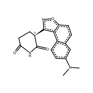 CN(C)c1ccc2c(ccc3onc([C@@H]4CCC(=O)NC4=O)c32)c1